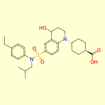 CCc1ccc(N(CC(C)C)S(=O)(=O)c2ccc3c(c2)C(O)CCN3[C@H]2CC[C@H](C(=O)O)CC2)cc1